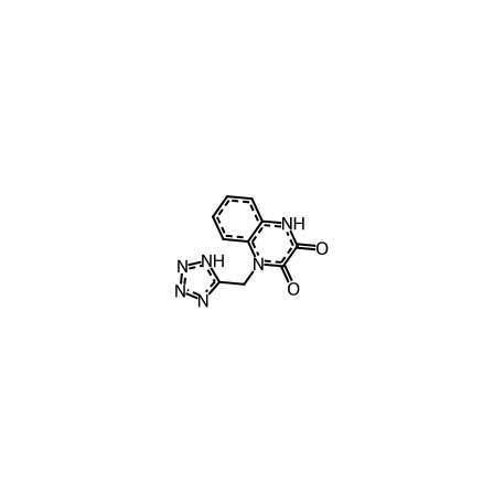 O=c1[nH]c2ccccc2n(Cc2nnn[nH]2)c1=O